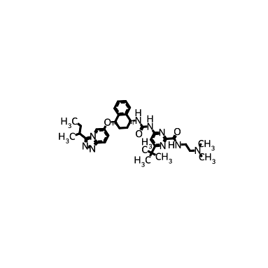 CCC(C)c1nnc2ccc(O[C@@H]3CC[C@H](NC(=O)Nc4cc(C(C)(C)C)nc(C(=O)NCCN(C)C)n4)c4ccccc43)cn12